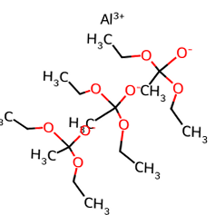 CCOC(C)([O-])OCC.CCOC(C)([O-])OCC.CCOC(C)([O-])OCC.[Al+3]